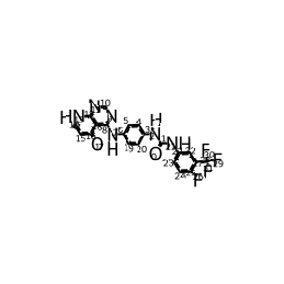 O=C(Nc1ccc(Nc2ncnc3[nH]ccc(=O)c23)cc1)Nc1ccc(F)c(C(F)(F)F)c1